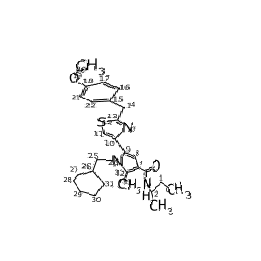 CCC(C)NC(=O)c1cc(-c2csc(Cc3ccc(OC)cc3)n2)n(CC2CCCCC2)c1C